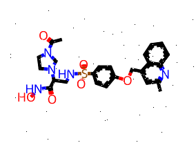 CC(=O)N1CCN(C(CNS(=O)(=O)c2ccc(OCc3cc(C)nc4ccccc34)cc2)C(=O)NO)C1